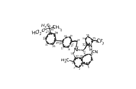 Cc1ccc2ccc(C#N)cc2c1CN(Cc1ccc(-c2cccc(C(C)(C)C(=O)O)c2)cc1)Cc1ccc(C(F)(F)F)[nH]1